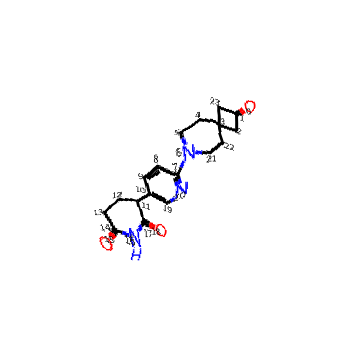 O=C1CC2(CCN(c3ccc(C4CCC(=O)NC4=O)cn3)CC2)C1